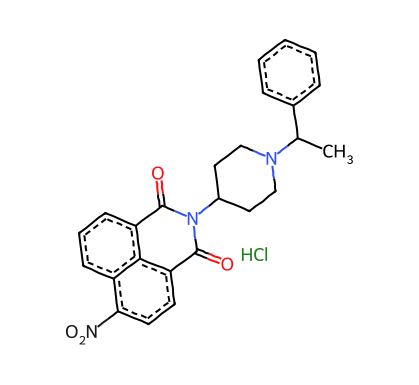 CC(c1ccccc1)N1CCC(N2C(=O)c3cccc4c([N+](=O)[O-])ccc(c34)C2=O)CC1.Cl